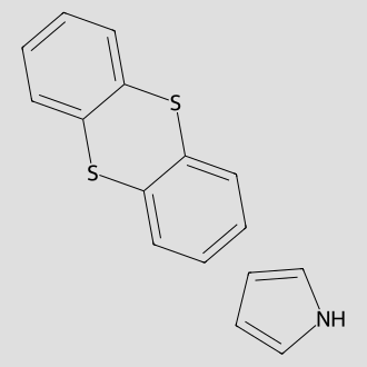 c1cc[nH]c1.c1ccc2c(c1)Sc1ccccc1S2